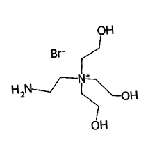 NCC[N+](CCO)(CCO)CCO.[Br-]